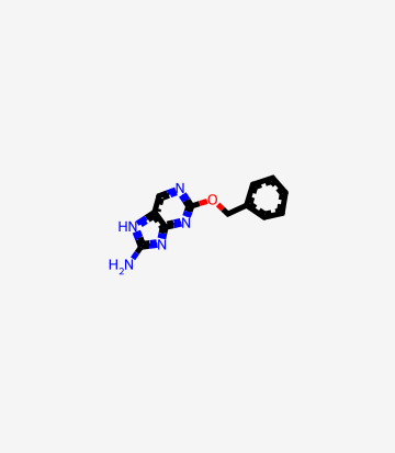 Nc1nc2nc(OCc3ccccc3)ncc2[nH]1